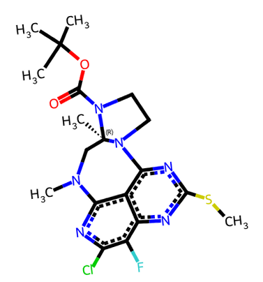 CSc1nc2c3c(nc(Cl)c(F)c3n1)N(C)C[C@@]1(C)N(C(=O)OC(C)(C)C)CCN21